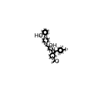 CC(=O)N1CCc2c(c(-c3ccc(I)cc3)nn2CC(O)CN2CCN(c3ccccc3O)CC2)C1